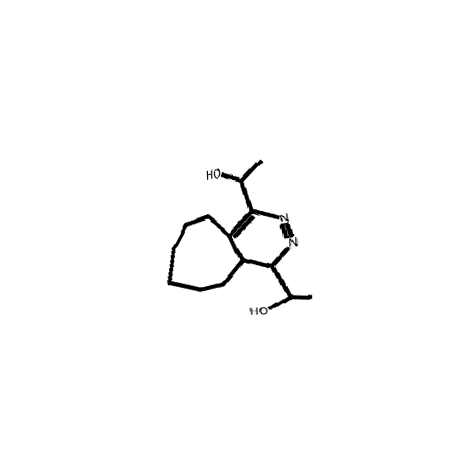 CC(O)C1=C2CCCCCCC2C(C(C)O)N=N1